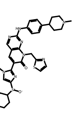 CN1CCC(c2ccc(Nc3ncc4cc(-c5nc([S+]([O-])C6CCOCC6)cn5C)c(=O)n(Cc5nccs5)c4n3)cc2)CC1